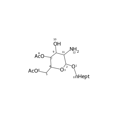 CCCCCCCOC1OC(COC(C)=O)C(OC(C)=O)C(O)C1N